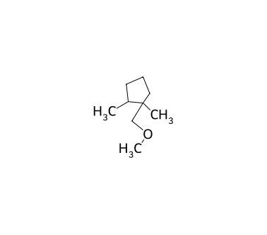 COCC1(C)CCCC1C